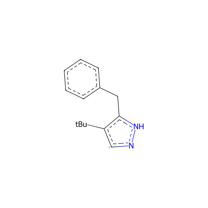 CC(C)(C)c1[c]n[nH]c1Cc1ccccc1